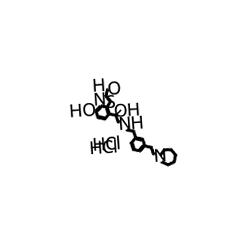 Cl.Cl.O=CC1Nc2c(O)ccc([C@@H](O)CNCCc3cccc(CCN4CCCCCC4)c3)c2S1